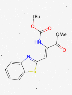 COC(=O)/C(=C/c1nc2ccccc2s1)NC(=O)OC(C)(C)C